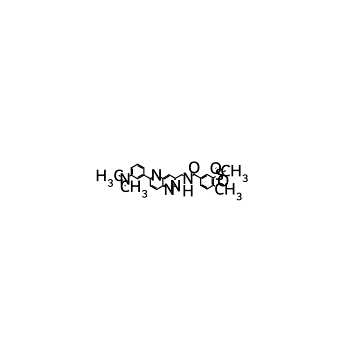 Cc1ccc(C(=O)NCc2cc3nc(-c4cccc(N(C)C)c4)ccc3nn2)cc1S(C)(=O)=O